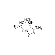 C[C@@H](O)CN1CC[C@@H](N)C1.Cl.Cl